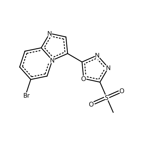 CS(=O)(=O)c1nnc(-c2cnc3ccc(Br)cn23)o1